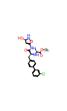 C[C@H](N[C@@H](Cc1ccc(-c2cccc(Cl)c2)cc1)C(=O)NC1=CC(O)NO1)C(=O)OC(C)(C)C